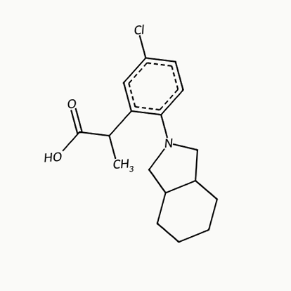 CC(C(=O)O)c1cc(Cl)ccc1N1CC2CCCCC2C1